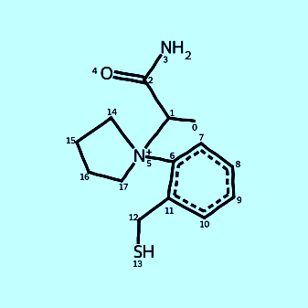 CC(C(N)=O)[N+]1(c2ccccc2CS)CCCC1